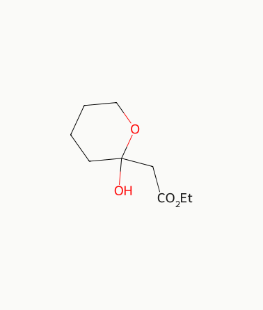 CCOC(=O)CC1(O)CCCCO1